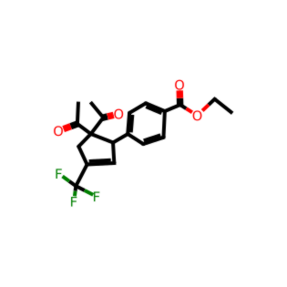 CCOC(=O)c1ccc(C2C=C(C(F)(F)F)CC2(C(C)=O)C(C)=O)cc1